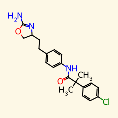 CC(C)(C(=O)Nc1ccc(CCC2COC(N)=N2)cc1)c1ccc(Cl)cc1